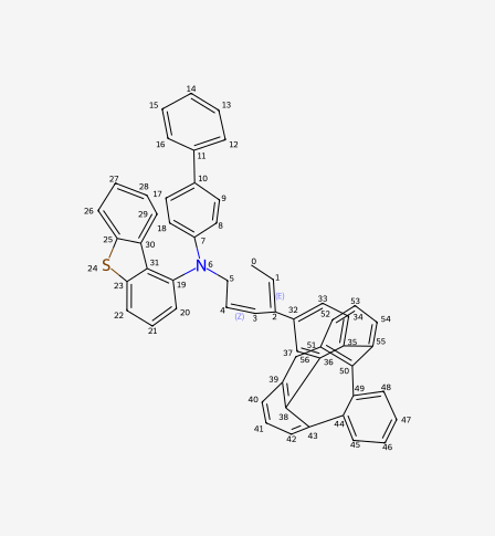 C/C=C(\C=C/CN(c1ccc(-c2ccccc2)cc1)c1cccc2sc3ccccc3c12)c1ccc2c(c1)-c1c3cccc1-c1ccccc1-c1c(cccc1-2)C3